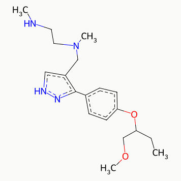 CCC(COC)Oc1ccc(-c2n[nH]cc2CN(C)CCNC)cc1